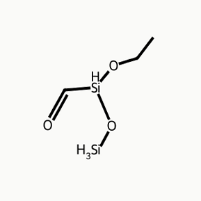 CCO[SiH](C=O)O[SiH3]